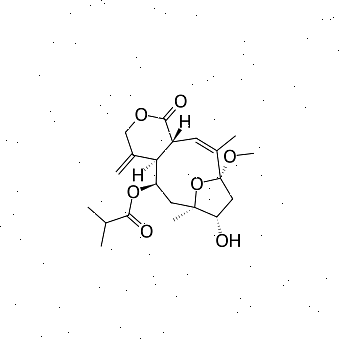 C=C1COC(=O)[C@@H]2/C=C(/C)[C@@]3(OC)C[C@H](O)[C@@](C)(C[C@@H](OC(=O)C(C)C)[C@@H]12)O3